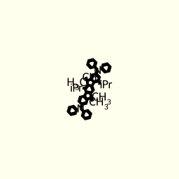 CC(C)c1cc(N(c2ccccc2)c2ccccc2)cc2c1-c1cc3c(c(C(C)C)c1C2(C)C)-c1ccc(N(c2ccccc2)c2ccccc2)cc1C3(C)C